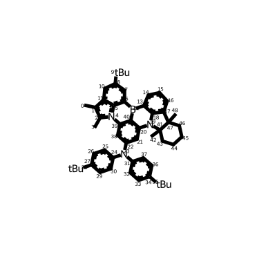 Cc1c(C)n2c3c(cc(C(C)(C)C)cc13)B1c3cccc4c3N(c3cc(N(c5ccc(C(C)(C)C)cc5)c5ccc(C(C)(C)C)cc5)cc-2c31)C1(C)CCCCC41C